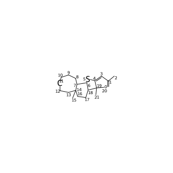 C=C(C)/C=C1/SC2C3CCCCCCC3(C)CCC2C1(C)C